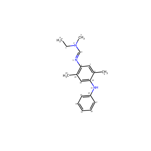 CCN(C)C=Nc1cc(C)c(Nc2ccccc2)cc1C